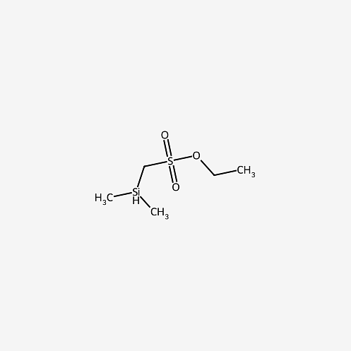 CCOS(=O)(=O)C[SiH](C)C